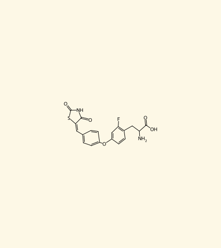 NC(Cc1ccc(Oc2ccc(C=C3SC(=O)NC3=O)cc2)cc1F)C(=O)O